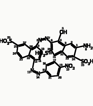 Nc1cc2c(O)c(/N=N\c3ccc(/N=N\c4ccc([N+](=O)[O-])cc4)c4ccc(S(=O)(=O)O)cc34)c(S(=O)(=O)O)cc2cc1S(=O)(=O)O